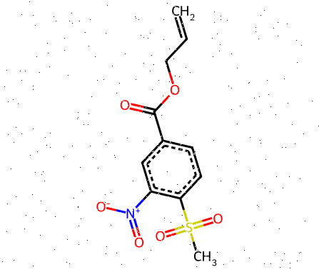 C=CCOC(=O)c1ccc(S(C)(=O)=O)c([N+](=O)[O-])c1